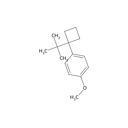 COc1ccc(C2(C(C)(C)C)CCC2)cc1